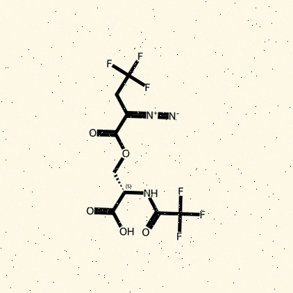 [N-]=[N+]=C(CC(F)(F)F)C(=O)OC[C@H](NC(=O)C(F)(F)F)C(=O)O